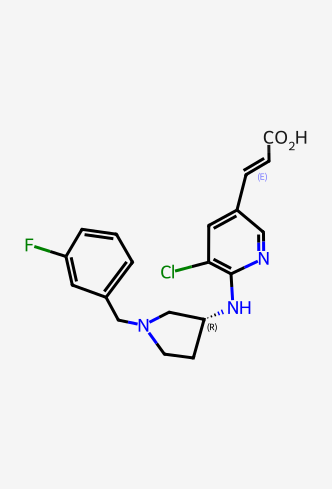 O=C(O)/C=C/c1cnc(N[C@@H]2CCN(Cc3cccc(F)c3)C2)c(Cl)c1